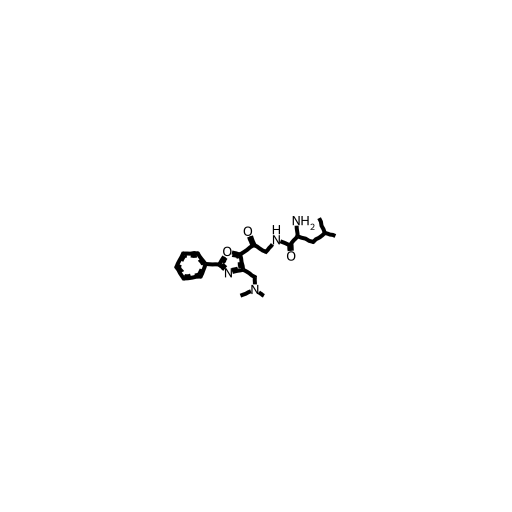 CC(C)CC(N)C(=O)NCC(=O)c1oc(-c2ccccc2)nc1CN(C)C